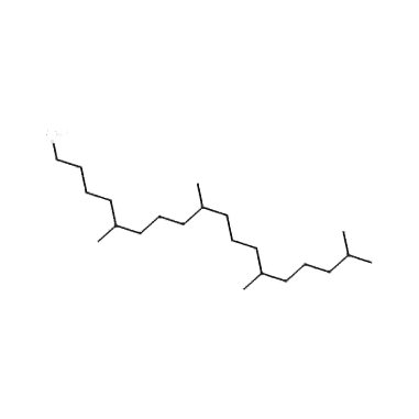 CC(C)CCCC(C)CCCC(C)CCCC(C)CCCCO